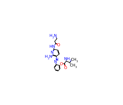 CC(C)[C@H](N)C(=O)Oc1ccccc1/N=N/c1ccc(NC(=O)CCN)nc1N